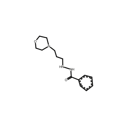 O=C(NNCCCN1CCOCC1)c1ccccc1